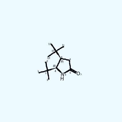 CC(C)(C)[C@@H]1NC(=O)C[C@@H]1C(C)(C)C